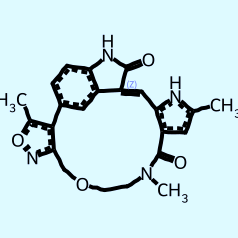 Cc1cc2c([nH]1)/C=C1\C(=O)Nc3ccc(cc31)-c1c(noc1C)COCCN(C)C2=O